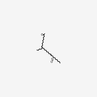 CCCCCCC(C/C=C/CCCCCC/C(=C\CCCCCCCC(C)=O)CCCC)OC=O